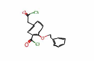 O=C(Cl)Cc1ccc(OCc2ccccc2)c(C(=O)Cl)c1